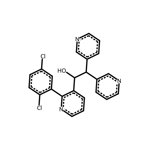 OC(c1cccnc1-c1cc(Cl)ccc1Cl)C(c1cccnc1)c1cccnc1